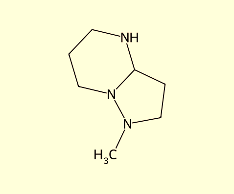 CN1CCC2NCCCN21